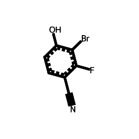 N#Cc1ccc(O)c(Br)c1F